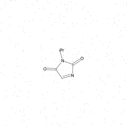 CC(C)N1C(=O)C=NC1=O